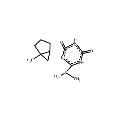 CC12CCCC1C2.CN(C)c1nc(=O)[nH]c(=O)[nH]1